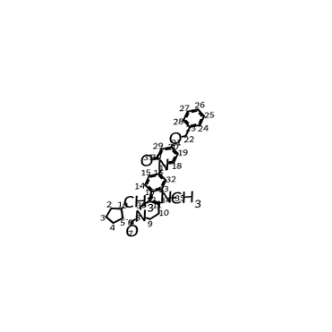 CC1CCC[C@H]1C(=O)N1CCc2c(c3ccc(-n4ccc(OCc5ccccc5)cc4=O)cc3n2C)C1